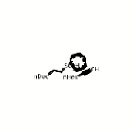 C#CCCCCCC.CCCCCCCCCCCCS(=O)(=O)O.c1ccccc1